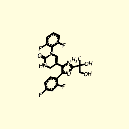 CC(O)(CO)c1nc(C2=CN(c3c(F)cccc3F)C(=O)NC2)c(-c2ccc(F)cc2F)o1